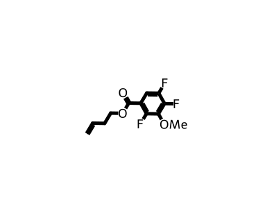 C=CCCOC(=O)c1cc(F)c(F)c(OC)c1F